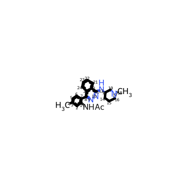 CC(=O)Nc1cc(C)ccc1-c1nnc(N[C@@H]2CCCN(C)C2)c2ccccc12